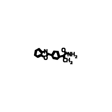 C=C(C(N)=O)c1ccc(-c2nc3ccccc3o2)cc1